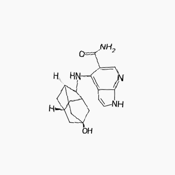 NC(=O)c1cnc2[nH]ccc2c1NC1C2C[C@H]3C[C@@H]1C[C@](O)(C2)C3